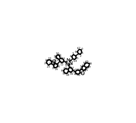 c1ccc(-c2ccc(-c3nc(-c4cc(-c5cccc6c5oc5ccccc56)c5ccccc5c4)nc(-c4cc(-c5ccc6oc7cc8ccccc8cc7c6c5)cc5ccccc45)n3)cc2)cc1